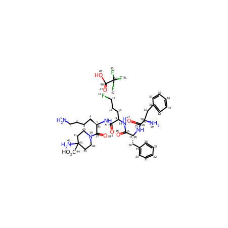 NCCCC[C@@H](NC(=O)C(CCCF)NC(=O)[C@@H](Cc1ccccc1)NC(=O)[C@H](N)Cc1ccccc1)C(=O)N1CCC(N)(C(=O)O)CC1.O=C(O)C(F)(F)F